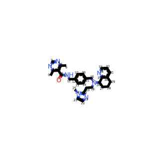 Cc1ncnc(C)c1C(=O)NCc1ccc(CN(CCc2nccn2C)C2CCCc3cccnc32)cc1